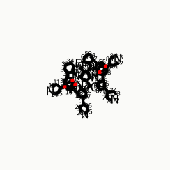 CC(C)c1c(-n2c3ccc(-c4ccncc4)cc3c3cc(-c4ccncc4)ccc32)c(-n2c3ccccc3c3ccccc32)c(C(F)(F)F)c(-n2c3ccccc3c3ccccc32)c1-n1c2ccc(-c3ccncc3)cc2c2cc(-c3ccncc3)ccc21